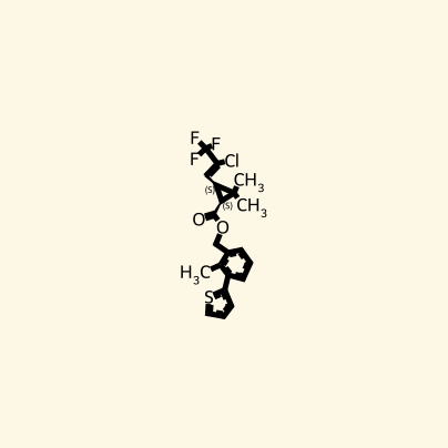 Cc1c(COC(=O)[C@H]2[C@@H](C=C(Cl)C(F)(F)F)C2(C)C)cccc1-c1cccs1